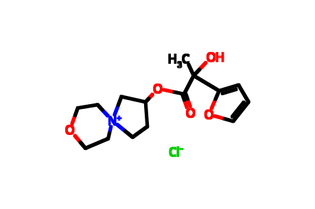 CC(O)(C(=O)OC1CC[N+]2(CCOCC2)C1)c1ccco1.[Cl-]